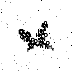 NC(=O)C1=NN(CC(=O)N2C[C@H](F)C[C@H]2C(=O)Nc2cccc(-c3ccccc3Cl)c2F)C2SC(NC(=O)NCc3ccon3)=NC12